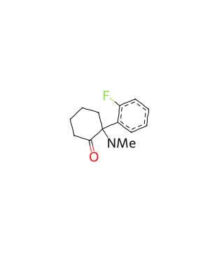 CNC1(c2ccccc2F)CCCCC1=O